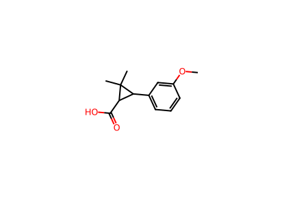 COc1cccc(C2C(C(=O)O)C2(C)C)c1